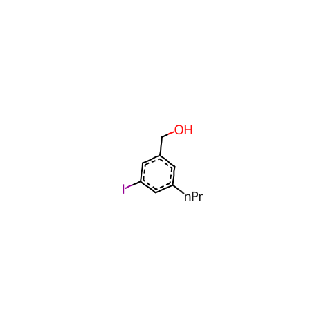 CCCc1cc(I)cc(CO)c1